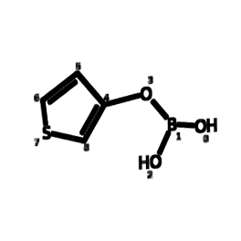 OB(O)Oc1ccsc1